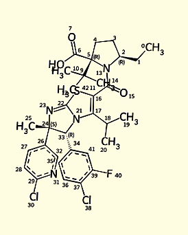 CC[C@@H]1CC[C@](C(=O)O)(C(C)(C)C)N1C(=O)C1=C(C(C)C)N2C(=N[C@@](C)(c3ccc(Cl)nc3)[C@H]2c2ccc(Cl)c(F)c2)S1